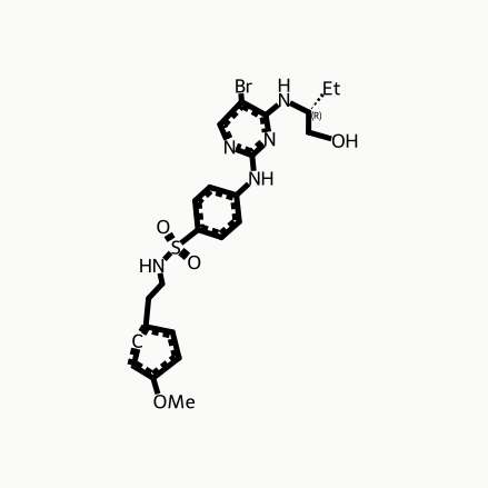 CC[C@H](CO)Nc1nc(Nc2ccc(S(=O)(=O)NCCc3ccc(OC)cc3)cc2)ncc1Br